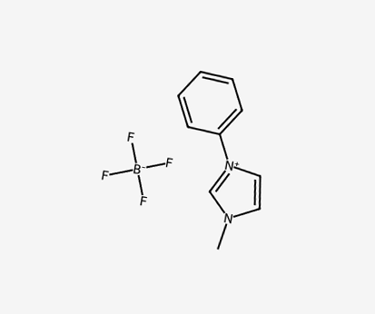 Cn1cc[n+](-c2ccccc2)c1.F[B-](F)(F)F